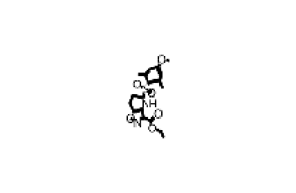 CCOC(=O)c1noc2c1NC(S(=O)(=O)c1c(C)cc(OC)cc1C)CC2